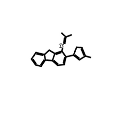 CC1=CCC(c2ccc3c([c]2[Zr]=[C](C)C)Cc2ccccc2-3)=C1